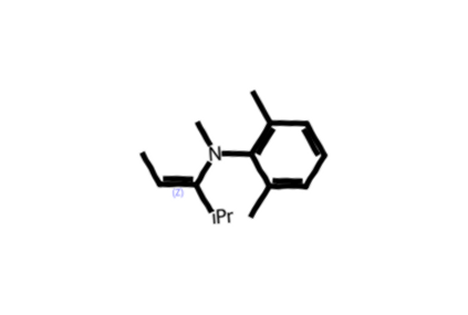 C/C=C(/C(C)C)N(C)c1c(C)cccc1C